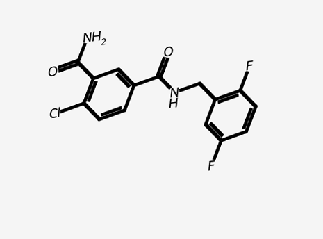 NC(=O)c1cc(C(=O)NCc2cc(F)ccc2F)ccc1Cl